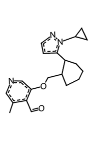 Cc1cncc(OCC2CCCCC2c2ccnn2C2CC2)c1C=O